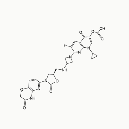 O=C1COc2ccc(N3C[C@@H](CNC4CN(c5nc6c(cc5F)c(=O)c(OC(=O)O)cn6C5CC5)C4)OC3=O)nc2N1